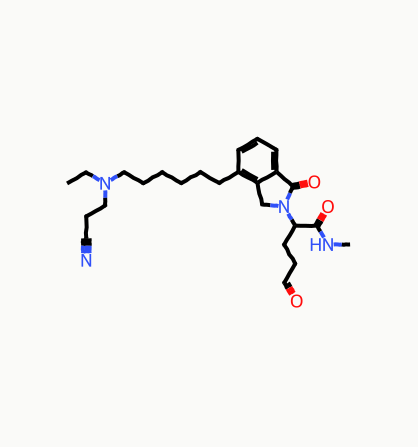 CCN(CCC#N)CCCCCCc1cccc2c1CN(C(CCC=O)C(=O)NC)C2=O